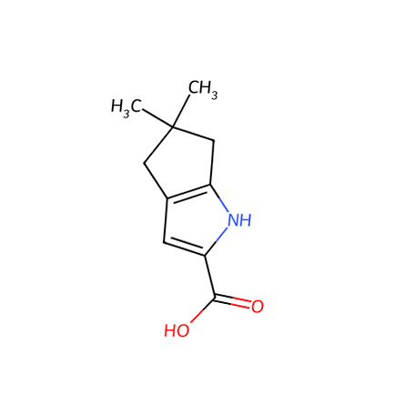 CC1(C)Cc2cc(C(=O)O)[nH]c2C1